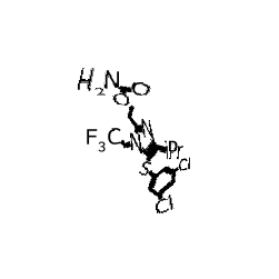 CC(C)c1nc(CCOC(N)=O)n(CC(F)(F)F)c1Sc1cc(Cl)cc(Cl)c1